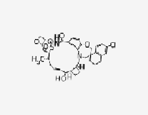 C[C@H]1C/C=C/[C@H](O)[C@@H]2CC[C@H]2CN2C[C@@]3(CCCc4cc(Cl)ccc43)COc3ccc(cc32)C(=O)NS(=O)(=O)[C@@H]1C[C@@H]1CCO1